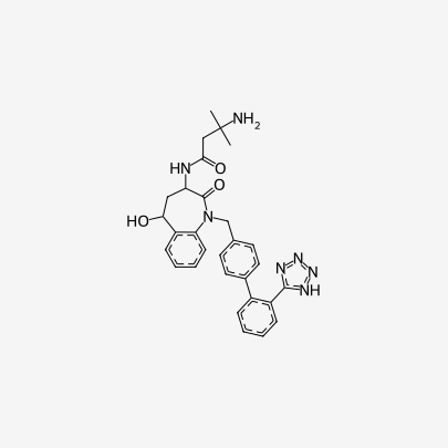 CC(C)(N)CC(=O)NC1CC(O)c2ccccc2N(Cc2ccc(-c3ccccc3-c3nnn[nH]3)cc2)C1=O